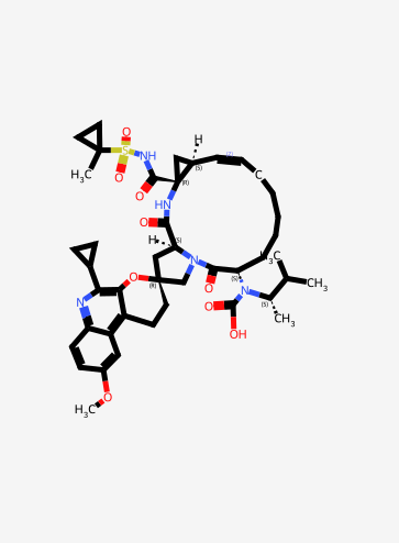 COc1ccc2nc(C3CC3)c3c(c2c1)CC[C@]1(C[C@H]2C(=O)N[C@]4(C(=O)NS(=O)(=O)C5(C)CC5)C[C@H]4/C=C\CCCCC[C@H](N(C(=O)O)[C@@H](C)C(C)C)C(=O)N2C1)O3